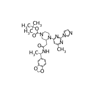 Cc1cc(N2CCN(C(=O)OC(C)(C)C)CC2CC(=O)NC(C)c2ccc3c(c2)OCO3)nc(-n2ccnc2)n1